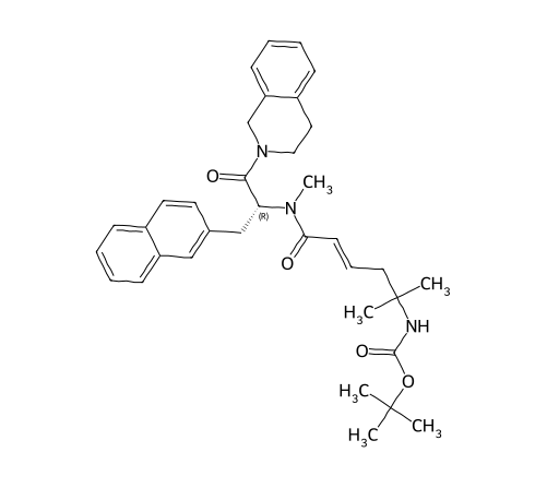 CN(C(=O)C=CCC(C)(C)NC(=O)OC(C)(C)C)[C@H](Cc1ccc2ccccc2c1)C(=O)N1CCc2ccccc2C1